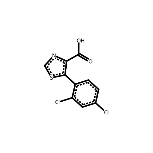 O=C(O)c1ncsc1-c1ccc(Cl)cc1Cl